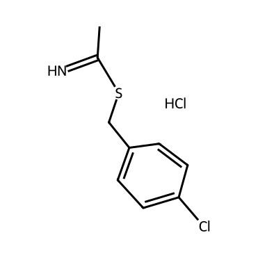 CC(=N)SCc1ccc(Cl)cc1.Cl